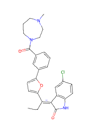 CC/C(=C1\C(=O)Nc2ccc(Cl)cc21)c1ccc(-c2cccc(C(=O)N3CCCN(C)CC3)c2)o1